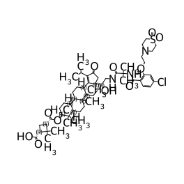 CC(C)C1=C2[C@H]3CC[C@@H]4[C@@]5(C)CC[C@H](OC(=O)[C@H]6C[C@@H](C(=O)O)C6(C)C)C(C)(C)[C@@H]5CC[C@@]4(C)[C@]3(C)CC[C@@]2([C@@H](O)CNC(=O)C(C)(C)NC(=O)c2ccc(Cl)cc2OCCN2CCS(=O)(=O)CC2)CC1=O